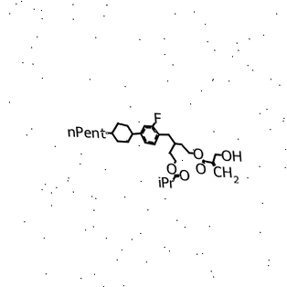 C=C(CO)C(=O)OCCC(CCOC(=O)C(C)C)Cc1ccc(C2CCC(CCCCC)CC2)cc1F